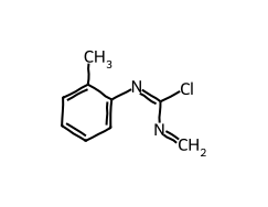 C=N/C(Cl)=N\c1ccccc1C